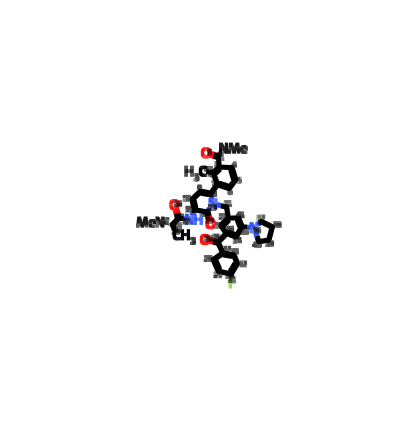 CNC(=O)c1cccc(-c2ccc(NC(=O)[C@H](C)NC)c(=O)n2Cc2cc(C(=O)c3ccc(F)cc3)cc(N3CCCC3)c2)c1C